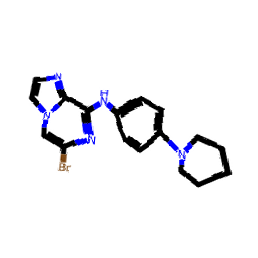 Brc1cn2ccnc2c(Nc2ccc(N3CCCCC3)cc2)n1